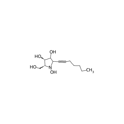 CCCCCC#CC1C(O)[C@H](O)[C@H](CO)N1O